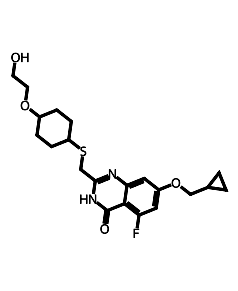 O=c1[nH]c(CSC2CCC(OCCO)CC2)nc2cc(OCC3CC3)cc(F)c12